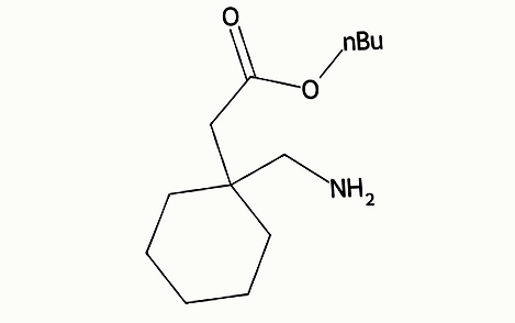 CCCCOC(=O)CC1(CN)CCCCC1